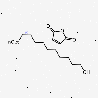 CCCCCCCC/C=C\CCCCCCCCO.O=C1C=CC(=O)O1